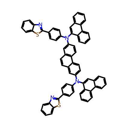 c1ccc2c(c1)cc(N(c1ccc(-c3nc4ccccc4s3)cc1)c1ccc3c(ccc4cc(N(c5ccc(-c6nc7ccccc7s6)cc5)c5cc6ccccc6c6ccccc56)ccc43)c1)c1ccccc12